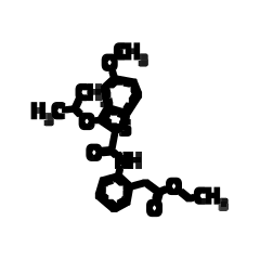 CCOC(=O)Cc1ccccc1NC(=O)c1sc2ccc(OC)cc2c1OC(C)C